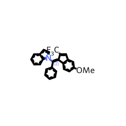 COc1ccc2c(c1)C=C(C(F)(F)F)/C2=C(/c1ccccc1)n1ccc2ccccc21